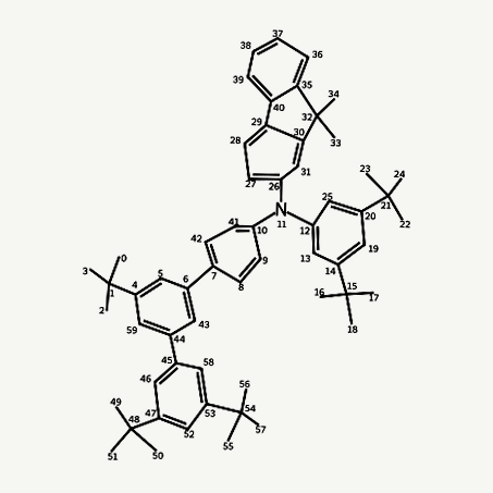 CC(C)(C)c1cc(-c2ccc(N(c3cc(C(C)(C)C)cc(C(C)(C)C)c3)c3ccc4c(c3)C(C)(C)c3ccccc3-4)cc2)cc(-c2cc(C(C)(C)C)cc(C(C)(C)C)c2)c1